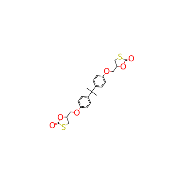 CC(C)(c1ccc(OCC2CSC(=O)O2)cc1)c1ccc(OCC2CSC(=O)O2)cc1